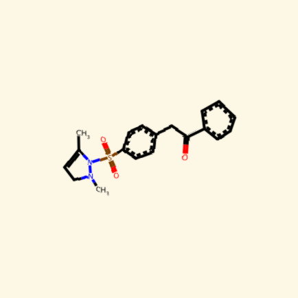 CC1=CCN(C)N1S(=O)(=O)c1ccc(CC(=O)c2ccccc2)cc1